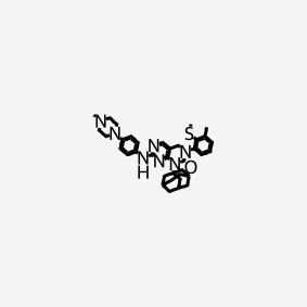 CSc1c(C)cccc1N1Cc2cnc(Nc3ccc(N4CCN(C)CC4)cc3)nc2N(C23CC4CC(CC(C4)C2)C3)C1=O